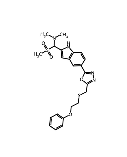 CN(C)C(c1cc2cc(-c3nnc(CSCCOc4ccccc4)o3)ccc2[nH]1)S(C)(=O)=O